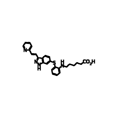 O=C(O)CCCCCNc1ccccc1Sc1ccc2c(C=Cc3ccccn3)n[nH]c2c1